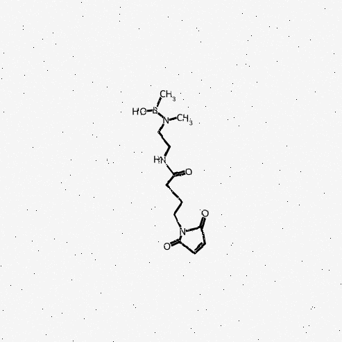 CB(O)N(C)CCNC(=O)CCCN1C(=O)C=CC1=O